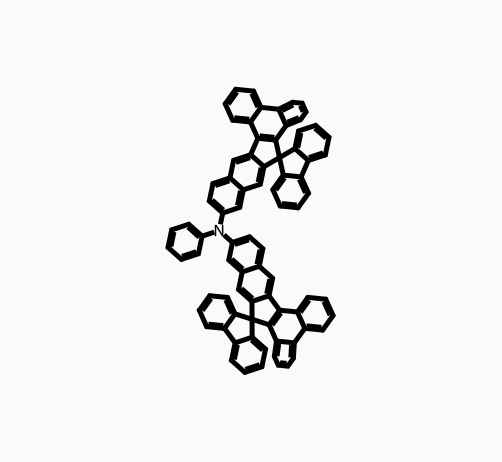 c1ccc(N(c2ccc3cc4c(cc3c2)C2(c3ccccc3-c3ccccc32)c2c-4c3ccccc3c3ccccc23)c2ccc3cc4c(cc3c2)C2(c3ccccc3-c3ccccc32)c2c-4c3ccccc3c3ccccc23)cc1